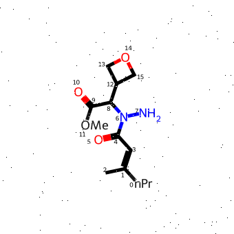 CCC/C(C)=C/C(=O)N(N)C(C(=O)OC)C1COC1